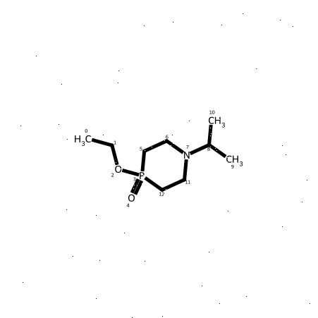 CCOP1(=O)CCN(C(C)C)CC1